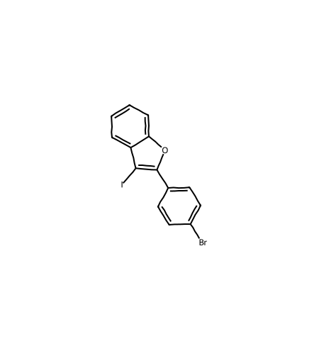 Brc1ccc(-c2oc3ccccc3c2I)cc1